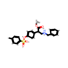 Cc1ccc(S(=O)(=O)Oc2ccc(C(CNCc3ccccc3)C(=O)OC(C)(C)C)cc2)cc1